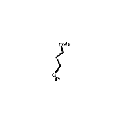 [CH2]C(C)OCCCOC